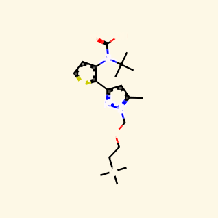 Cc1cc(-c2sccc2N(C(=O)O)C(C)(C)C)nn1COCC[Si](C)(C)C